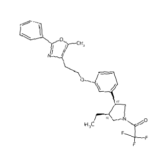 CC[C@@H]1CN(C(=O)C(F)(F)F)C[C@@H]1c1cccc(OCCc2nc(-c3ccccc3)oc2C)c1